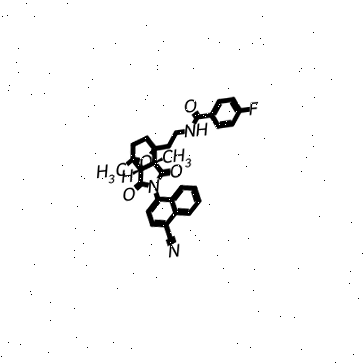 CC12CCC(CCNC(=O)c3ccc(F)cc3)(O1)[C@]1(C)C(=O)N(c3ccc(C#N)c4ccccc34)C(=O)[C@H]21